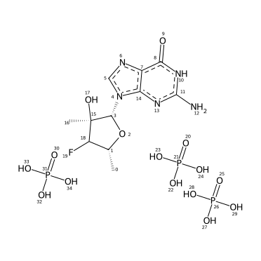 C[C@H]1O[C@@H](n2cnc3c(=O)[nH]c(N)nc32)[C@](C)(O)C1F.O=P(O)(O)O.O=P(O)(O)O.O=P(O)(O)O